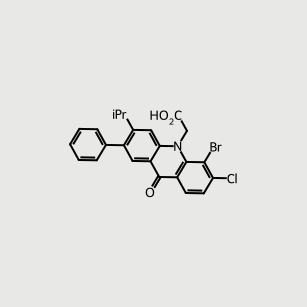 CC(C)c1cc2c(cc1-c1ccccc1)c(=O)c1ccc(Cl)c(Br)c1n2CC(=O)O